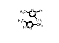 CCn1nc(C)cc1C.Cc1cc(C)[nH]n1